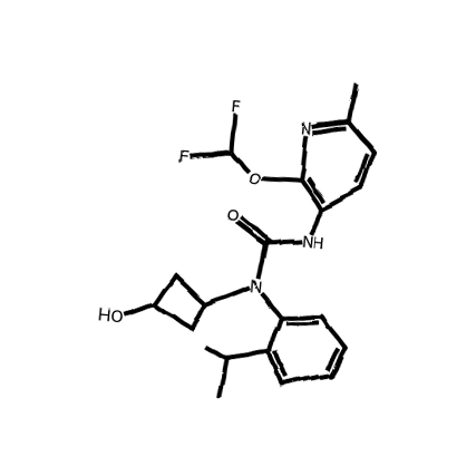 Cc1ccc(NC(=O)N(c2ccccc2C(C)C)C2CC(O)C2)c(OC(F)F)n1